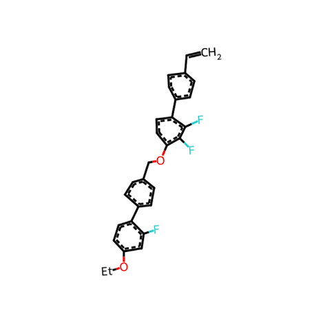 C=Cc1ccc(-c2ccc(OCc3ccc(-c4ccc(OCC)cc4F)cc3)c(F)c2F)cc1